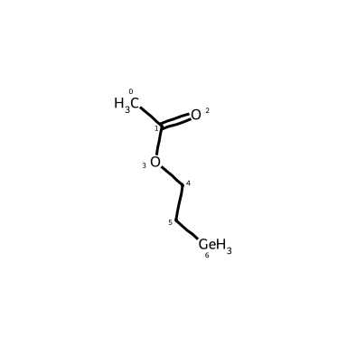 CC(=O)OC[CH2][GeH3]